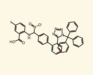 O=C(O)c1cc(I)ccc1NC(c1ccc(-c2ccccc2-c2nnnn2C(c2ccccc2)(c2ccccc2)c2ccccc2)cc1)[N+](=O)[O-]